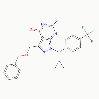 Cc1nc2c(c(COCc3ccccc3)nn2C(c2ccc(C(F)(F)F)cc2)C2CC2)c(=O)[nH]1